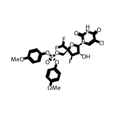 COc1ccc(OP(=O)(OC[C@@]2(C(F)F)O[C@@H](n3cc(Cl)c(=O)[nH]c3=O)[C@H](O)[C@H]2F)Oc2ccc(OC)cc2)cc1